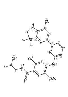 COc1cc(C(=O)NCC(C)O)c(Cl)cc1Nc1nccc(-c2cc(C#N)c3c(c2)C(C)(C)CN3)n1